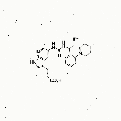 CC(C)CC(NC(=O)Nc1cnc2[nH]cc(CCC(=O)O)c2c1)c1ccccc1N1CCCCC1